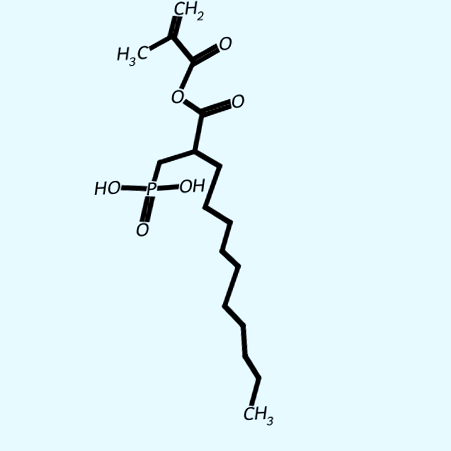 C=C(C)C(=O)OC(=O)C(CCCCCCCCCC)CP(=O)(O)O